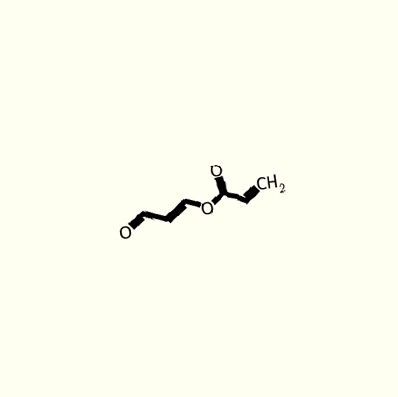 C=CC(=O)OC=CC=O